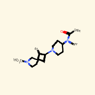 CCC1C(N2CCC(N(C(=O)OC)C(C)C)CC2)CC12CCN(C(=O)O)C2